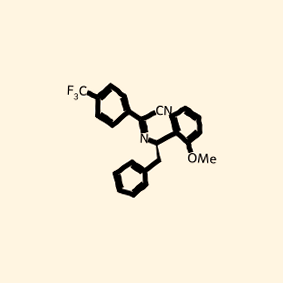 COc1ccccc1[C@@H](Cc1ccccc1)/N=C(\C#N)c1ccc(C(F)(F)F)cc1